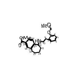 COCOc1ccccc1CCNC1CCCCc2cc(C(=O)OC)ccc21